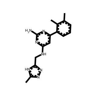 Cc1nnc(CNc2cc(-c3cccc(C)c3C)nc(N)n2)[nH]1